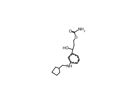 NC(=O)OCCC(O)c1cccc(NCC2CCCC2)c1